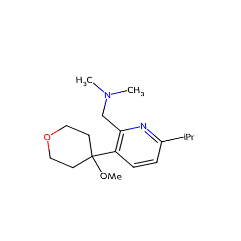 COC1(c2ccc(C(C)C)nc2CN(C)C)CCOCC1